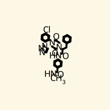 CNC(=O)c1ccc(NC(=O)C(Cc2ccccc2)N2CC(=O)N(c3cc(Cl)ccc3-n3ccnn3)CC2=O)cc1